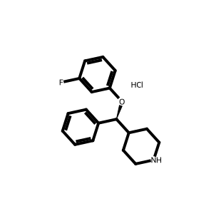 Cl.Fc1cccc(O[C@H](c2ccccc2)C2CCNCC2)c1